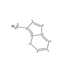 CC1=C2CC=CC=C2C=C1